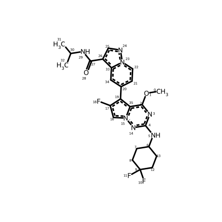 COc1nc(NC2CCC(F)(F)CC2)nn2cc(F)c(-c3ccn4ncc(C(=O)NC(C)C)c4c3)c12